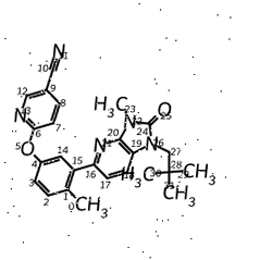 Cc1ccc(Oc2ccc(C#N)cn2)cc1-c1ccc2c(n1)n(C)c(=O)n2CC(C)(C)C